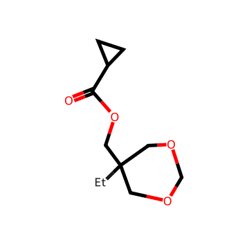 CCC1(COC(=O)C2CC2)COCOC1